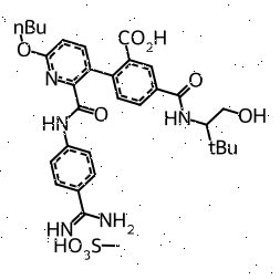 CCCCOc1ccc(-c2ccc(C(=O)NC(CO)C(C)(C)C)cc2C(=O)O)c(C(=O)Nc2ccc(C(=N)N)cc2)n1.CS(=O)(=O)O